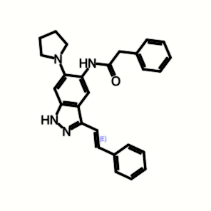 O=C(Cc1ccccc1)Nc1cc2c(/C=C/c3ccccc3)n[nH]c2cc1N1CCCC1